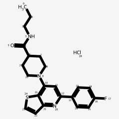 CCCNC(=O)C1CCN(c2cc(-c3ccc(F)cc3)nc3ccsc23)CC1.Cl